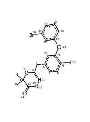 CC1(C)OC(Cc2ccc(I)c(Oc3cccc(Br)c3)c2)=NNC1=O